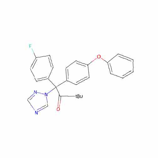 CC(C)(C)C(=O)C(c1ccc(F)cc1)(c1ccc(Oc2ccccc2)cc1)n1cncn1